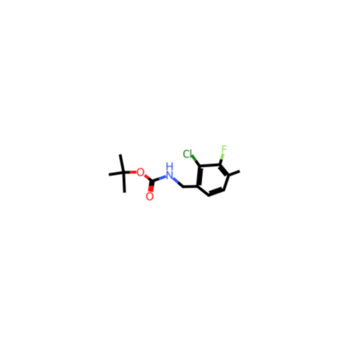 Cc1ccc(CNC(=O)OC(C)(C)C)c(Cl)c1F